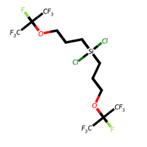 FC(F)(F)C(F)(OCCC[Si](Cl)(Cl)CCCOC(F)(C(F)(F)F)C(F)(F)F)C(F)(F)F